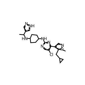 CC(NC1CCC(Nc2ncc(Cl)c(-c3cnn(C)c3CC3CC3)n2)CC1)c1cn[nH]c1